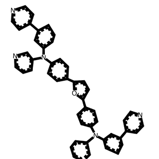 c1cncc(N(c2ccc(-c3ccc(-c4ccc(N(c5cccnc5)c5cccc(-c6ccncc6)c5)cc4)o3)cc2)c2cccc(-c3ccncc3)c2)c1